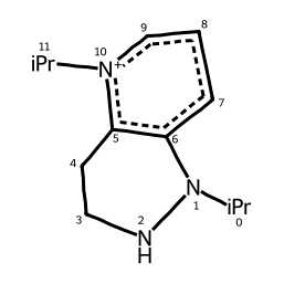 CC(C)N1NCCc2c1ccc[n+]2C(C)C